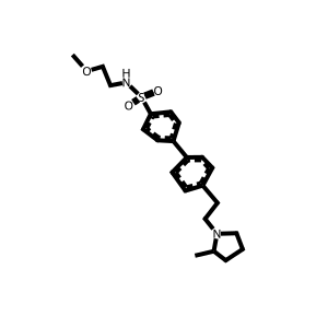 COCCNS(=O)(=O)c1ccc(-c2ccc(CCN3CCCC3C)cc2)cc1